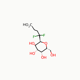 O=C(O)CCC(F)(F)[C@H]1O[C@H](CO)[C@H](O)[C@H](O)[C@H]1O